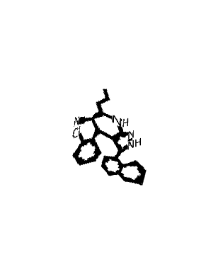 CCCC1=C(C#N)C(c2ccccc2Cl)c2c(n[nH]c2-c2cccc3ccccc23)N1